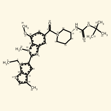 CCn1c(-c2nc3cc(C(=O)N4CCC[C@@H](NC(=O)OC(C)(C)C)C4)cc(OC)c3n2C)cc2c(C)csc21